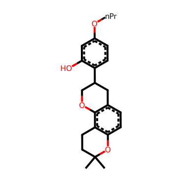 CCCOc1ccc(C2COc3c(ccc4c3CCC(C)(C)O4)C2)c(O)c1